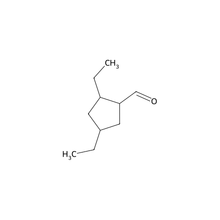 CCC1CC(C=O)C(CC)C1